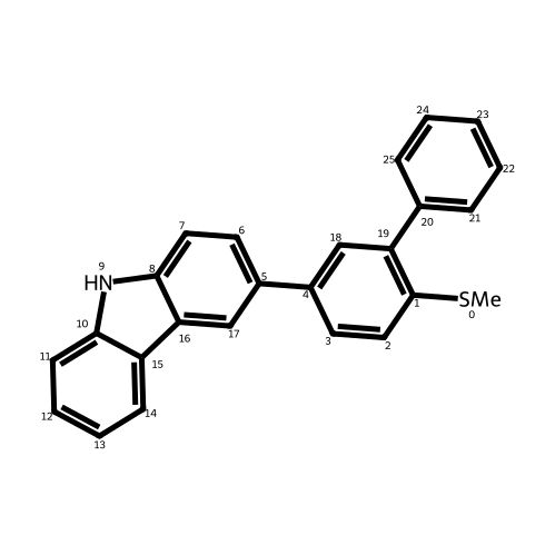 CSc1ccc(-c2ccc3[nH]c4ccccc4c3c2)cc1-c1ccccc1